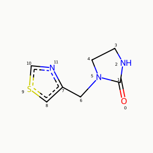 O=C1NCCN1Cc1cscn1